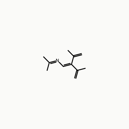 C=C(C)C(=CN=C(C)C)C(=C)C